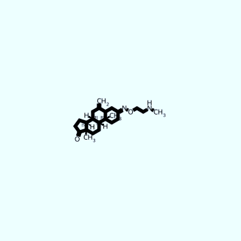 C=C1C[C@@H]2[C@@H](CC[C@]3(C)C(=O)CC[C@@H]23)[C@@]2(C)CCC(=NOCCNC)CC12